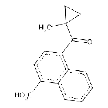 CC1(C(=O)c2ccc(C(=O)O)c3ccccc23)CC1